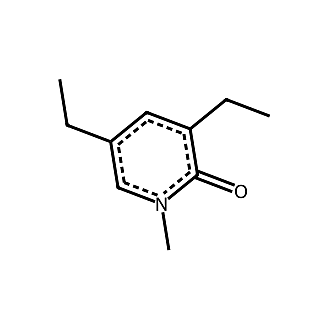 CCc1cc(CC)c(=O)n(C)c1